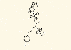 Cn1cnc(S(=O)(=O)N2CCC(C(CCCc3ccc(F)cc3)NC(=O)O)C2)c1